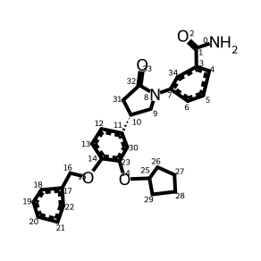 NC(=O)c1cccc(N2C[C@H](c3ccc(OCc4ccccc4)c(OC4CCCC4)c3)CC2=O)c1